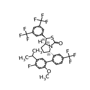 COc1cc(F)c(C(C)C)cc1-c1ccc(C(F)(F)F)cc1[C@@H]1CC[C@H]2[C@@H](c3cc(C(F)(F)F)cc(C(F)(F)F)c3)SC(=O)N12